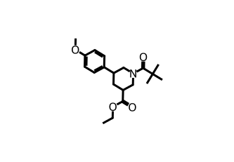 CCOC(=O)C1CC(c2ccc(OC)cc2)CN(C(=O)C(C)(C)C)C1